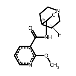 COc1ncccc1C(=O)N[C@@H]1CN2CCC1CC2